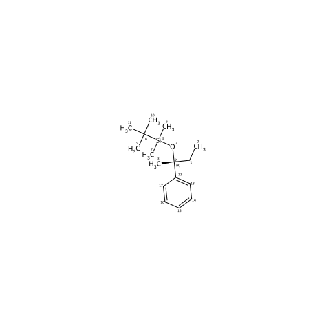 CC[C@@](C)(O[Si](C)(C)C(C)(C)C)c1ccccc1